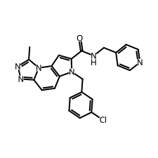 Cc1nnc2ccc3c(cc(C(=O)NCc4ccncc4)n3Cc3cccc(Cl)c3)n12